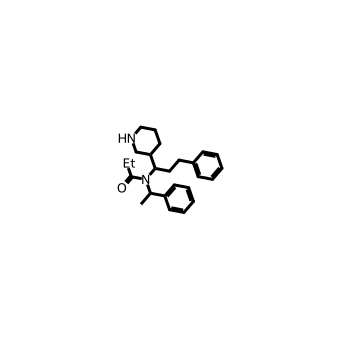 CCC(=O)N(C(C)c1ccccc1)C(CCc1ccccc1)C1CCCNC1